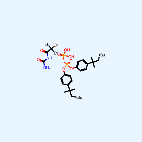 CC(C)(C)CC(C)(C)c1ccc(OP(=O)(Oc2ccc(C(C)(C)CC(C)(C)C)cc2)OP(=O)(O)O)cc1.CCC(Br)(CC)C(=O)NC(N)=O